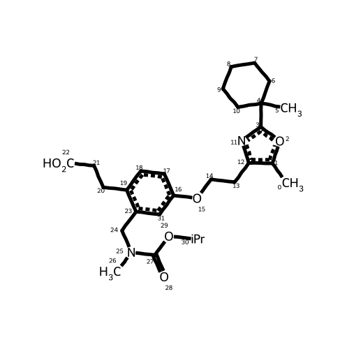 Cc1oc(C2(C)CCCCC2)nc1CCOc1ccc(CCC(=O)O)c(CN(C)C(=O)OC(C)C)c1